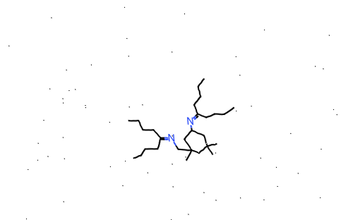 CCCCC(CCCC)=NCC1(C)CC(N=C(CCCC)CCCC)CC(C)(C)C1